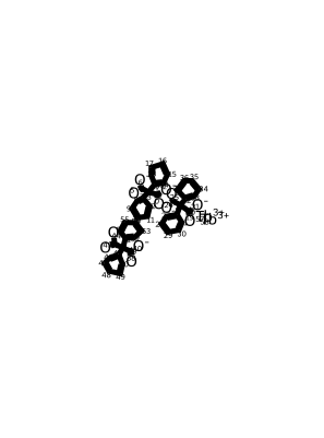 O=C([O-])C(C(=O)[O-])(c1ccccc1)c1ccccc1.O=C([O-])C(C(=O)[O-])(c1ccccc1)c1ccccc1.O=C([O-])C(C(=O)[O-])(c1ccccc1)c1ccccc1.[Tb+3].[Tb+3]